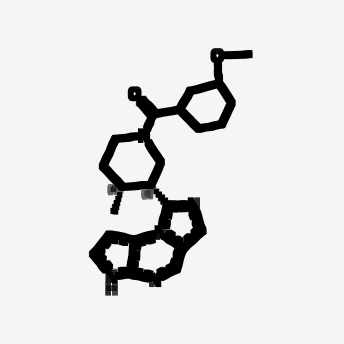 COC1CCCC(C(=O)N2CC[C@@H](C)[C@@H](c3ncc4cnc5[nH]ccc5n34)C2)C1